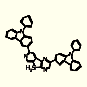 c1ccc(-n2c3ccccc3c3cc(-c4cc5c(cn4)[SiH2]c4ncc(-c6ccc7c(c6)c6ccccc6n7-c6ccccc6)nc4-5)ccc32)cc1